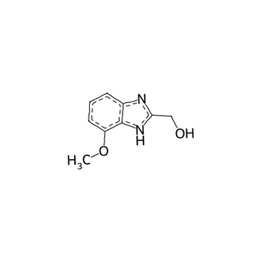 COc1cccc2nc(CO)[nH]c12